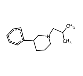 CC(C)CN1CCC[C@@H](c2ccccc2)C1